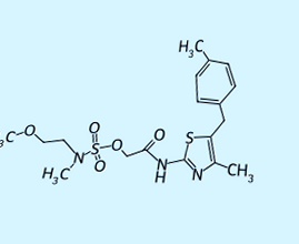 COCCN(C)S(=O)(=O)OCC(=O)Nc1nc(C)c(Cc2ccc(C)cc2)s1